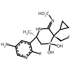 C[C@@]1(c2cc(N)cnc2F)CS(O)(O)[C@@](CF)(C2CC2)C(=NC(=O)O)N1